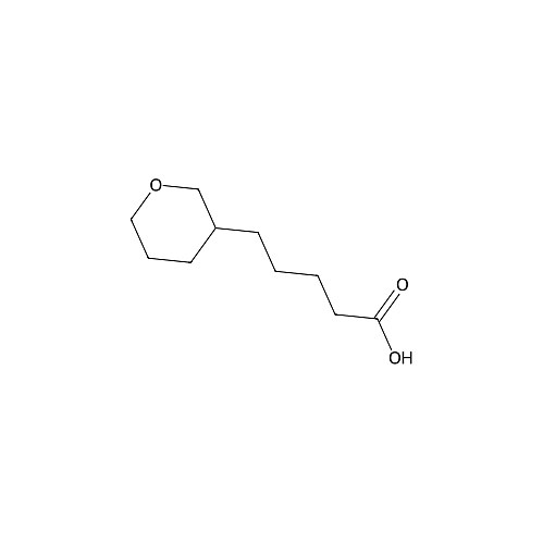 O=C(O)CCCCC1CCCOC1